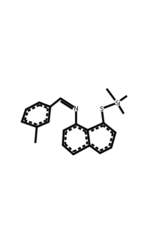 Cc1cccc(/C=N\c2cccc3cccc(S[Si](C)(C)C)c23)c1